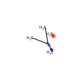 CCCCCCCCCCCCCCCCCCN(CCCCCCCCCCCCCCCCCC)c1ccc(/C=C/c2cc[n+](CC)cc2)cc1.CCOS(=O)(=O)[O-]